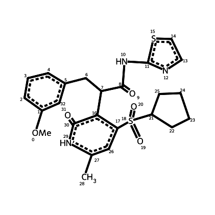 COc1cccc(CC(C(=O)Nc2nccs2)c2c(S(=O)(=O)C3CCCC3)cc(C)[nH]c2=O)c1